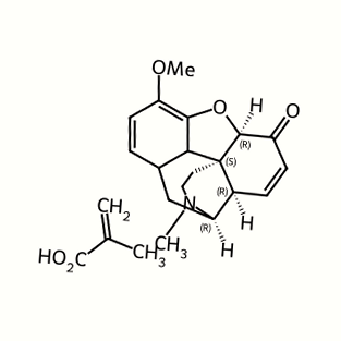 C=C(C)C(=O)O.COC1=C2O[C@H]3C(=O)C=C[C@H]4[C@H]5CC(C=C1)C2[C@@]34CCN5C